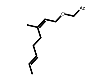 CC=CCCC(C)=CCOCC(C)=O